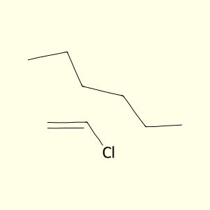 C=CCl.CCCCCC